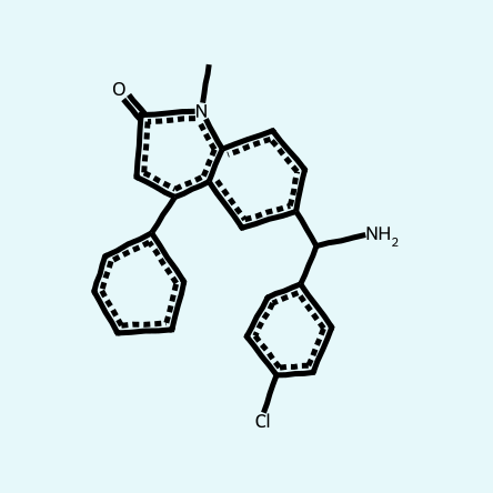 Cn1c(=O)cc(-c2ccccc2)c2cc(C(N)c3ccc(Cl)cc3)ccc21